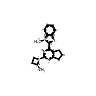 C[C@H]1CCN1c1nc2c(c(-c3nc4ccccc4n3C)n1)CCC2